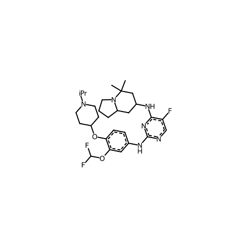 CC(C)N1CCC(Oc2ccc(Nc3ncc(F)c(NC4CC5CCCN5C(C)(C)C4)n3)cc2OC(F)F)CC1